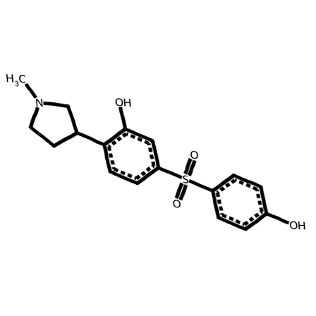 CN1CCC(c2ccc(S(=O)(=O)c3ccc(O)cc3)cc2O)C1